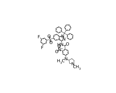 CN1CCC(N(C)c2ccc(C(=O)Nc3nn(C(c4ccccc4)(c4ccccc4)c4ccccc4)c4ccc(S(=O)(=O)c5cc(F)cc(F)c5)cc34)c([N+](=O)[O-])c2)C1